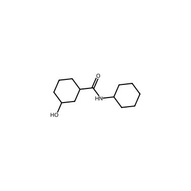 O=C(NC1CCCCC1)C1CCCC(O)C1